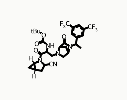 CC(c1cc(C(F)(F)F)cc(C(F)(F)F)c1)N1C(=O)C2CC1CN2CC(NC(=O)OC(C)(C)C)C(=O)N1C(C#N)C[C@@H]2C[C@@H]21